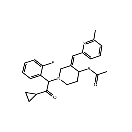 CC(=O)SC1CCN(C(C(=O)C2CC2)c2ccccc2F)CC1=Cc1cccc(C)n1